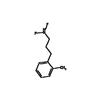 Cc1ccccc1CCC[SiH](F)F